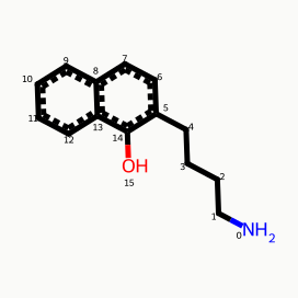 NCCCCc1ccc2ccccc2c1O